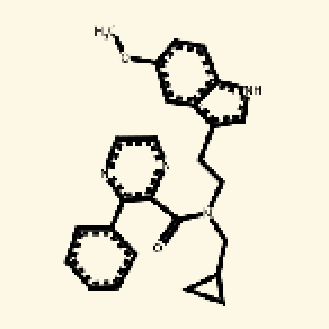 COc1ccc2[nH]cc(CCN(CC3CC3)C(=O)c3nccnc3-c3ccccc3)c2c1